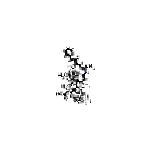 CC[C@@H](C(=O)C(C)(C)[C@H](CC(=O)O)O[Si](C)(C)C(C)(C)C)[C@@H](O[Si](C)(C)C(C)(C)C)[C@@H](C)CCC/C(C)=C/C[C@H](O)/C(Cl)=C/c1ccccn1